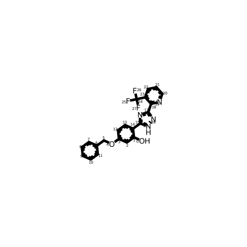 Oc1cc(OCc2ccccc2)ccc1-c1nc(-c2ncccc2C(F)(F)F)n[nH]1